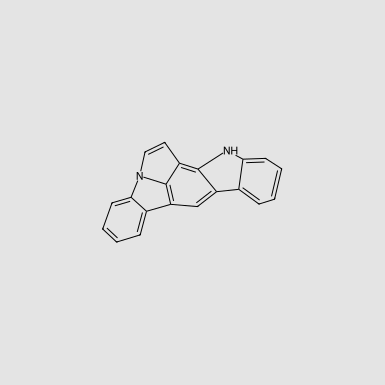 c1ccc2c(c1)[nH]c1c2cc2c3ccccc3n3ccc1c23